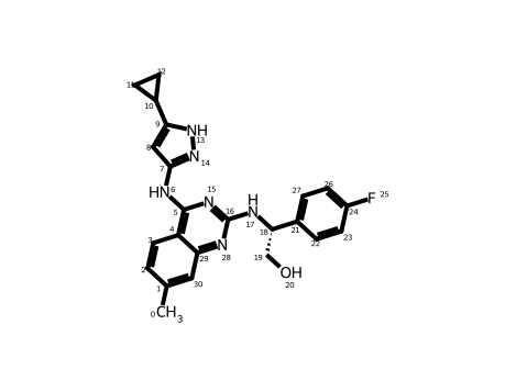 Cc1ccc2c(Nc3cc(C4CC4)[nH]n3)nc(N[C@@H](CO)c3ccc(F)cc3)nc2c1